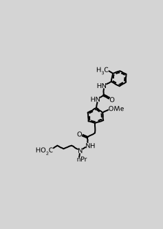 CCCN(CCCC(=O)O)NC(=O)Cc1ccc(NC(=O)Nc2ccccc2C)c(OC)c1